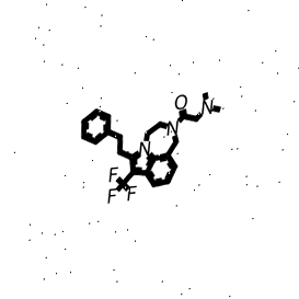 CN(C)CC(=O)N1CCn2c(CCc3ccccc3)c(C(F)(F)F)c3cccc(c32)C1